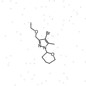 CCOCc1nn(C2CCCCO2)c(C)c1Br